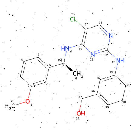 COc1cccc([C@H](C)Nc2nc(NC3=CC(CO)=CCC3)ncc2Cl)c1